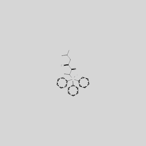 CC(C)CC(=N)C(=O)C(C)P(Br)(c1ccccc1)(c1ccccc1)c1ccccc1